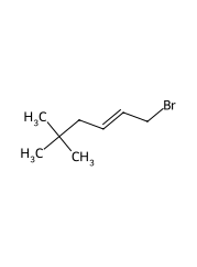 CC(C)(C)CC=CCBr